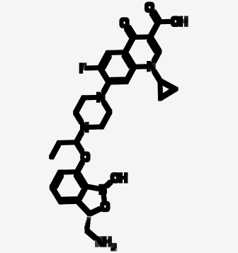 CCC(Oc1cccc2c1B(O)O[C@@H]2CN)N1CCN(c2cc3c(cc2F)c(=O)c(C(=O)O)cn3C2CC2)CC1